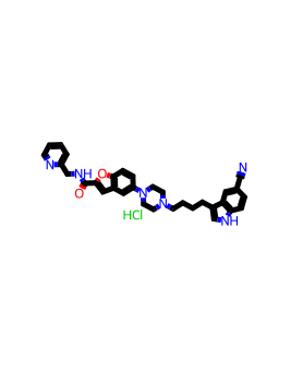 Cl.N#Cc1ccc2[nH]cc(CCCCN3CCN(c4ccc5oc(C(=O)NCc6ccccn6)cc5c4)CC3)c2c1